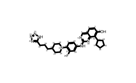 Oc1ccc2cnc(Nc3ccc(N4CCC(CCCc5nnn[nH]5)CC4)c(F)c3)nc2c1C1CCCC1